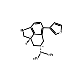 CCCN(CCC)[C@H]1Cc2c(-c3ccoc3)ccc3c2[C@@H](CN3)C1